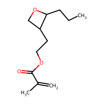 C=C(C)C(=O)OCCC1COC1CCC